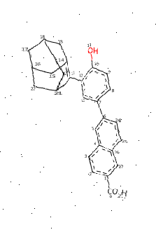 O=C(O)c1ccc2cc(-c3ccc(O)c(C4=C5CC6CC(C5)CC4C6)c3)ccc2c1